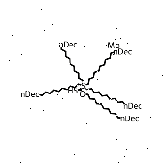 CCCCCCCCCCCCCCCCCCCCOC(S)=S(CCCCCCCCCCCCCCCCCCCC)(CCCCCCCCCCCCCCCCCCCC)(CCCCCCCCCCCCCCCCCCCC)CCCCCCCCCCCCCCCCCCCC.[Mo]